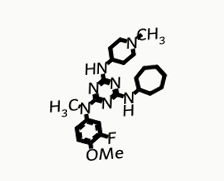 COc1ccc(N(C)c2nc(NC3CCCCCC3)nc(NC3CCN(C)CC3)n2)cc1F